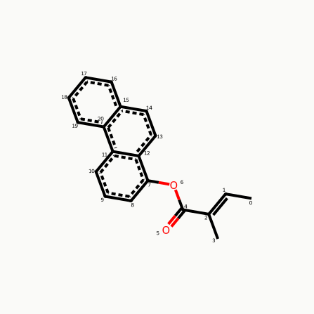 CC=C(C)C(=O)Oc1cccc2c1ccc1ccccc12